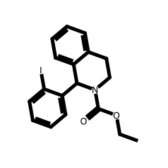 CCOC(=O)N1CCc2ccccc2C1c1ccccc1I